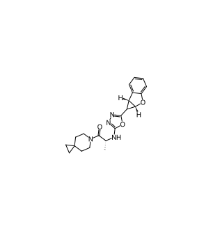 C[C@@H](Nc1nnc(C2[C@H]3Oc4ccccc4[C@@H]23)o1)C(=O)N1CCC2(CC1)CC2